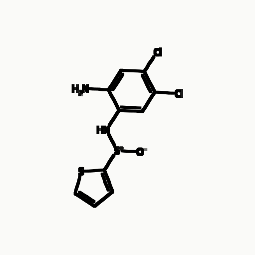 Nc1cc(Cl)c(Cl)cc1N[S+]([O-])c1cccs1